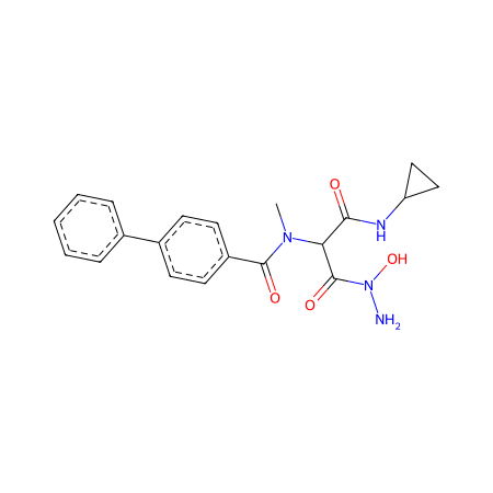 CN(C(=O)c1ccc(-c2ccccc2)cc1)C(C(=O)NC1CC1)C(=O)N(N)O